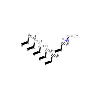 C=CC(=O)O.C=CC(=O)O.C=CC(=O)O.C=CC(=O)O.C=CC(=O)O.C=CC(=O)O.CCOC(N)=O